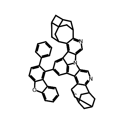 c1ccc(-c2ccc3oc4ccccc4c3c2-c2cc3c4c5c(ncc4n4c6cnc7c(c6c(c2)c34)C2CC3CC4CC7CC43C2)C2CC3CC(C2)CC5C3)cc1